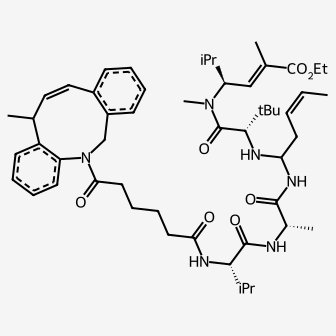 C/C=C\CC(NC(=O)[C@H](C)NC(=O)[C@@H](NC(=O)CCCCC(=O)N1Cc2ccccc2/C=C\C(C)c2ccccc21)C(C)C)N[C@H](C(=O)N(C)[C@H](/C=C(\C)C(=O)OCC)C(C)C)C(C)(C)C